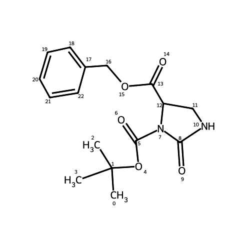 CC(C)(C)OC(=O)N1C(=O)NCC1C(=O)OCc1ccccc1